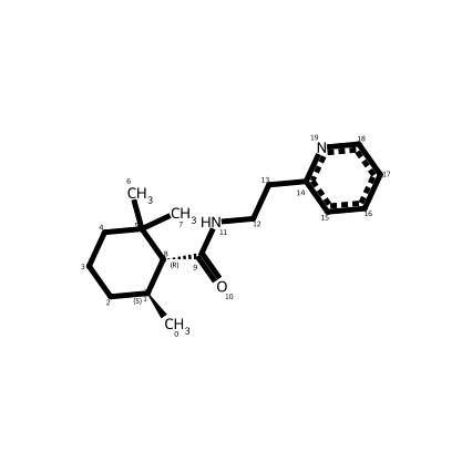 C[C@H]1CCCC(C)(C)[C@@H]1C(=O)NCCc1ccccn1